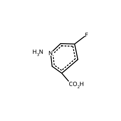 N.O=C(O)c1cncc(F)c1